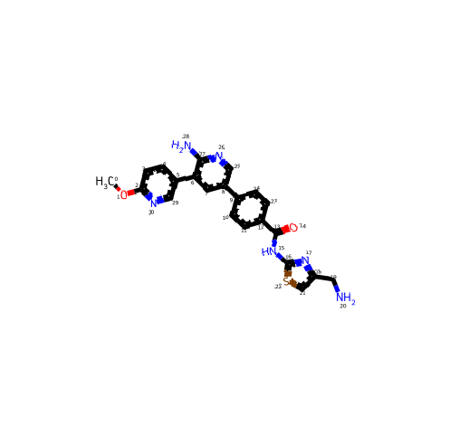 COc1ccc(-c2cc(-c3ccc(C(=O)Nc4nc(CN)cs4)cc3)cnc2N)cn1